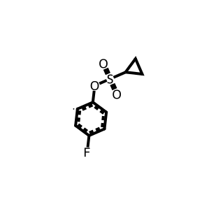 O=S(=O)(Oc1[c]cc(F)cc1)C1CC1